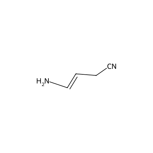 N#CCC=CN